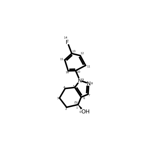 O[C@H]1CCCc2c1cnn2-c1ccc(F)cc1